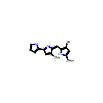 CCCCCCc1cc(C(C)(C)C)c(/C=C2/N=C(c3ccc[nH]3)C=C2OC)[nH]1